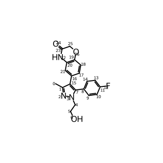 Cc1nn(CCO)c(-c2ccc(F)cc2)c1-c1ccc2c(c1)NC(=O)CO2